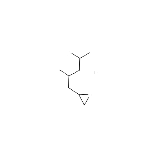 CC(N)CC(C)CC1CO1.Cl